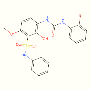 COc1ccc(NC(=O)Nc2ccccc2Br)c(O)c1S(=O)(=O)Nc1ccccc1